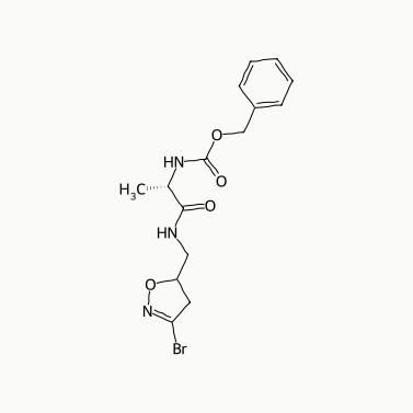 C[C@H](NC(=O)OCc1ccccc1)C(=O)NCC1CC(Br)=NO1